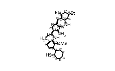 C=N/C(Nc1cccc(C2CCCCCC2S)c1OC)=C(\C=N/C1=CC2=C(CC)CC(CC)CC2NN=C1)C(N)=O